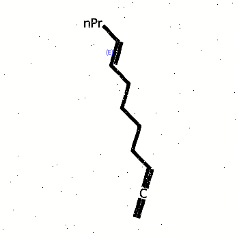 C=C=CCCCC/C=C/CCC